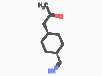 CC(=O)C[C@H]1CC[C@H](C=N)CC1